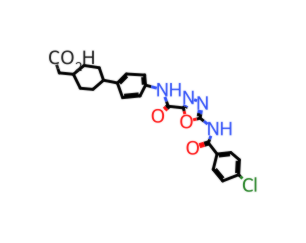 O=C(O)CC1CCC(c2ccc(NC(=O)c3nnc(NC(=O)c4ccc(Cl)cc4)o3)cc2)CC1